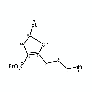 CCOC(=O)C1=C(CCCC(C)C)OC(CC)C1